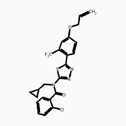 C=CCOc1ccc(-c2nnc(N(CC3CC3)C(=O)c3ccccc3Cl)s2)c(C(F)(F)F)c1